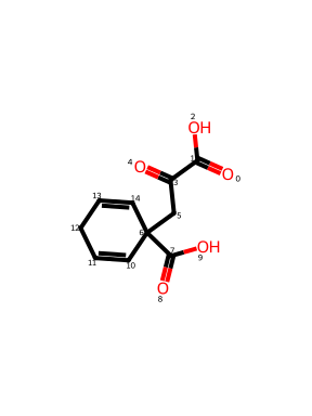 O=C(O)C(=O)CC1(C(=O)O)C=CCC=C1